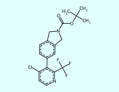 CC(C)(C)OC(=O)N1Cc2ccc(-c3c(Cl)ccnc3C(F)(F)F)cc2C1